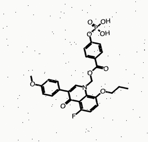 CCCOc1ccc(F)c2c(=O)c(-c3ccc(OC)cc3)cn(COC(=O)c3ccc(OP(=O)(O)O)cc3)c12